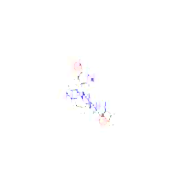 COc1cncc(-c2cnc3ccc(NCc4ccco4)nn23)c1